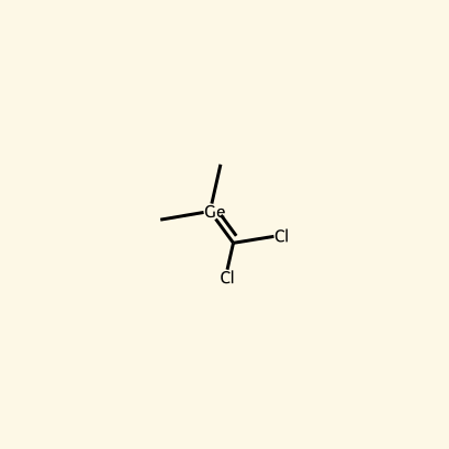 [CH3][Ge]([CH3])=[C](Cl)Cl